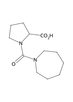 O=C(O)C1CCCN1C(=O)N1CCCCCC1